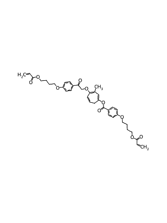 C=CC(=O)OCCCCOc1ccc(C(=O)COC2=C(C)C=C(OC(=O)c3ccc(OCCCCOC(=O)C=C)cc3)CC=C2)cc1